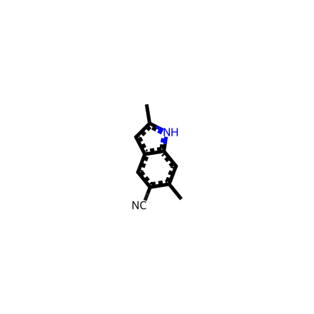 Cc1cc2cc(C#N)c(C)cc2[nH]1